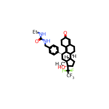 CCNC(=O)NCc1ccc([C@H]2C[C@@]3(C)[C@@H](CC[C@@]3(O)C(F)(F)C(F)(F)F)[C@@H]3CCC4=CC(=O)CCC4=C32)cc1